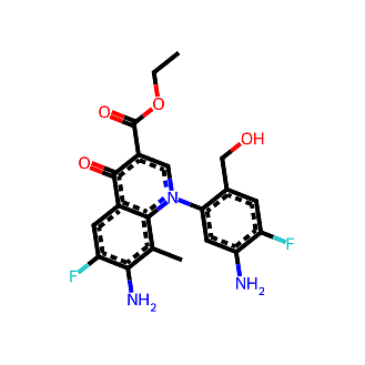 CCOC(=O)c1cn(-c2cc(N)c(F)cc2CO)c2c(C)c(N)c(F)cc2c1=O